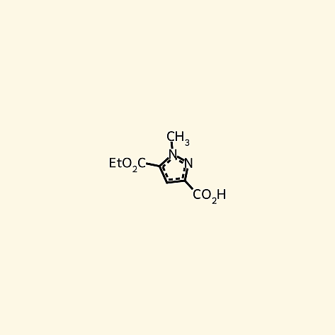 CCOC(=O)c1cc(C(=O)O)nn1C